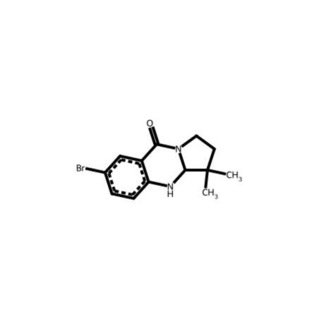 CC1(C)CCN2C(=O)c3cc(Br)ccc3NC21